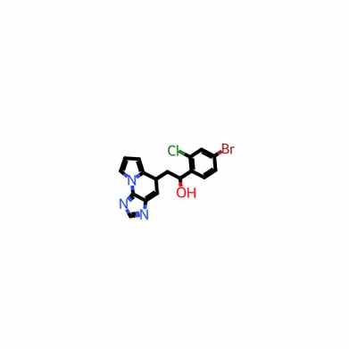 OC(CC1C=C2N=CN=C2n2cccc21)c1ccc(Br)cc1Cl